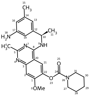 COc1cc2nc(C)nc(N[C@H](C)c3cc(C)cc(N)c3)c2cc1OC(=O)N1CCCCC1